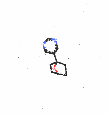 c1ncc(C23CCC(CC2)O3)cn1